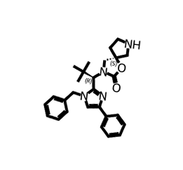 CC(C)(C)[C@H](c1nc(-c2ccccc2)cn1Cc1ccccc1)N1C[C@@]2(CCNC2)OC1=O